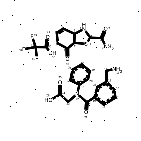 NC(=O)C1NC2C=CCC(=O)C2S1.NCc1cccc(C(=O)N(CC(=O)O)c2ccccc2)c1.O=C(O)C(F)(F)F